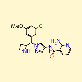 COc1cc(Cl)cc(C(C2CCN2)n2cc(NC(=O)c3cccnc3N)cn2)c1